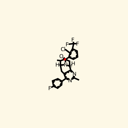 Cc1nc(-c2ccc(F)cc2)c2c(n1)[C@@H]1CCC(C)[C@H](C2)N1C(=O)c1cccc(C(F)(F)F)c1Cl